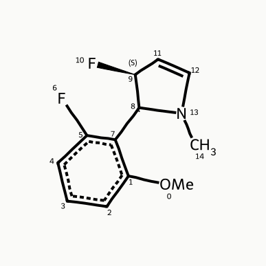 COc1cccc(F)c1[C]1[C@@H](F)C=CN1C